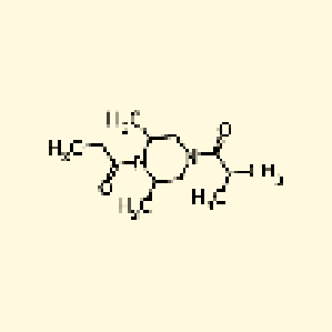 CCC(=O)N1C(C)CN(C(=O)C(C)C)CC1C